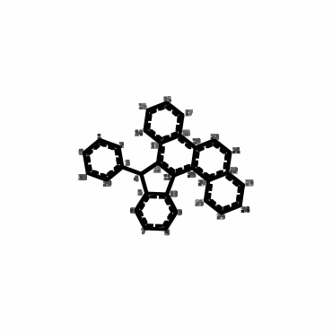 c1ccc(C2c3ccccc3-c3c2c2ccccc2c2ccc4ccccc4c32)cc1